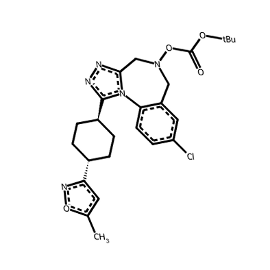 Cc1cc([C@H]2CC[C@H](c3nnc4n3-c3ccc(Cl)cc3CN(OC(=O)OC(C)(C)C)C4)CC2)no1